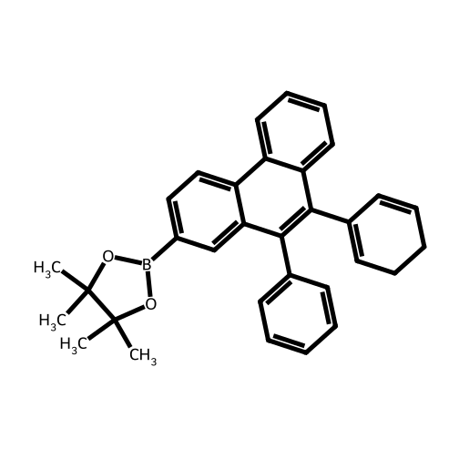 CC1(C)OB(c2ccc3c(c2)c(-c2ccccc2)c(C2=CCCC=C2)c2ccccc23)OC1(C)C